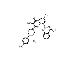 Cc1cc([C@@H](C)Nc2ccccc2C(=O)O)c2nc(N3CCN(c4ccc(C#N)cc4C)CC3)c(C#N)c(=O)n2c1